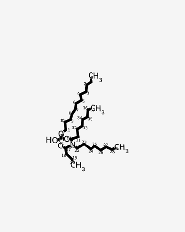 CCCCCCCCCCCCOP(=O)(O)OC(CCC)N(CCCCCCCC)CCCCCCCC